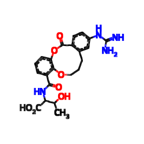 CC(O)C(NC(=O)c1cccc2c1OCCCc1cc(NC(=N)N)ccc1C(=O)O2)C(=O)O